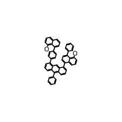 c1ccc(-c2c3cccc(-c4ccc5c(c4)Oc4cccc6cccc-5c46)c3cc3c(-c4ccc5c6c(cccc46)Oc4ccccc4-5)cccc23)cc1